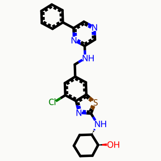 O[C@H]1CCCC[C@@H]1Nc1nc2c(Cl)cc(CNc3cncc(-c4ccccc4)n3)cc2s1